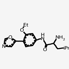 CCOc1cc(NC(=O)C(N)CC(C)C)ccc1-c1cnco1